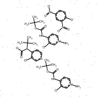 CC(C)(C)N(C(=O)[O-])c1ccncc1Cl.CC(C)(C)OC(=O)Nc1cc[n+](N)cc1Cl.CC(C)(C)OC(=O)Nc1cc[n+](N)cc1Cl.O=[N+]([O-])c1ccc([O-])c([N+](=O)[O-])c1